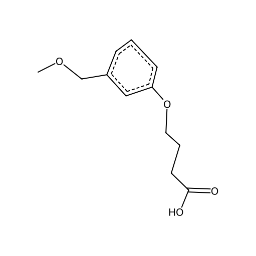 COCc1cccc(OCCCC(=O)O)c1